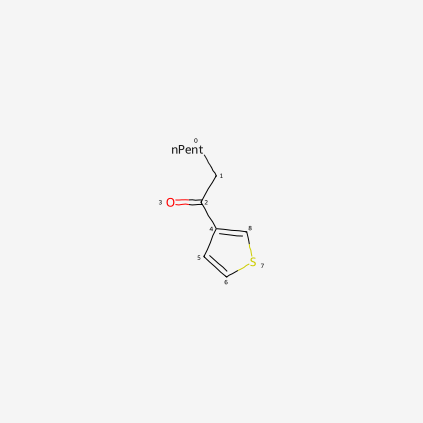 CCCCCCC(=O)c1ccsc1